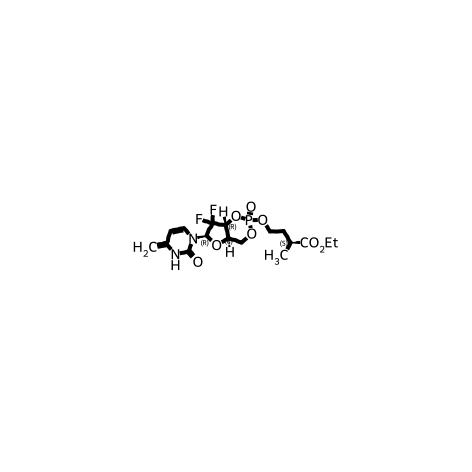 C=C1C=CN([C@@H]2O[C@@H]3COP(=O)(OCC[C@H](C)C(=O)OCC)O[C@H]3C2(F)F)C(=O)N1